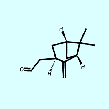 C=C1[C@@H](CC=O)C[C@H]2C[C@@H]1C2(C)C